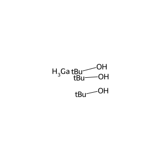 CC(C)(C)O.CC(C)(C)O.CC(C)(C)O.[GaH3]